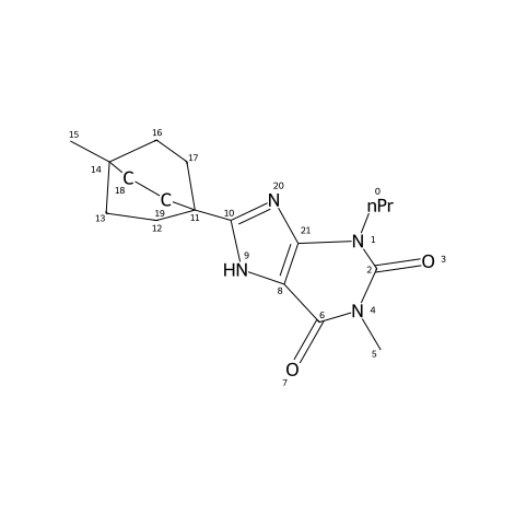 CCCn1c(=O)n(C)c(=O)c2[nH]c(C34CCC(C)(CC3)CC4)nc21